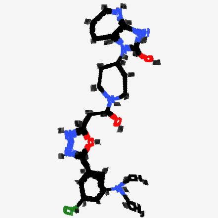 CN(C)c1cc(Cl)cc(-c2nnc(CC(=O)N3CCC(n4c(=O)[nH]c5ncccc54)CC3)o2)c1